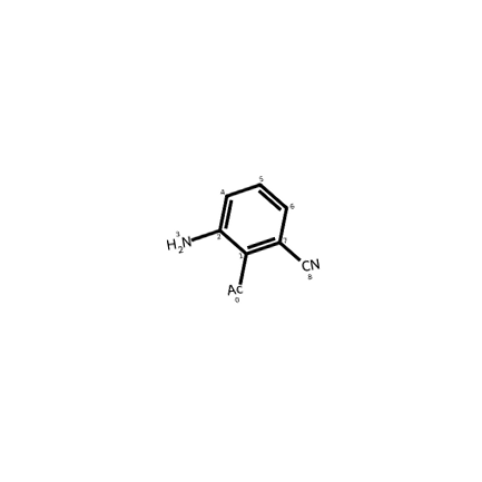 CC(=O)c1c(N)cccc1C#N